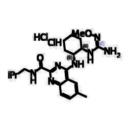 CO/N=C(/N)N[C@@H]1CCCC[C@@H]1Nc1nc(C(=O)NCC(C)C)nc2ccc(C)cc12.Cl.Cl